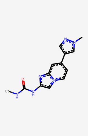 CCNC(=O)Nc1cn2ccc(-c3cnn(C)c3)cc2n1